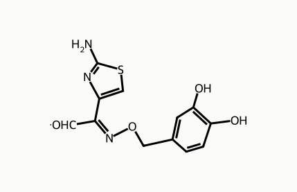 Nc1nc(C([C]=O)=NOCc2ccc(O)c(O)c2)cs1